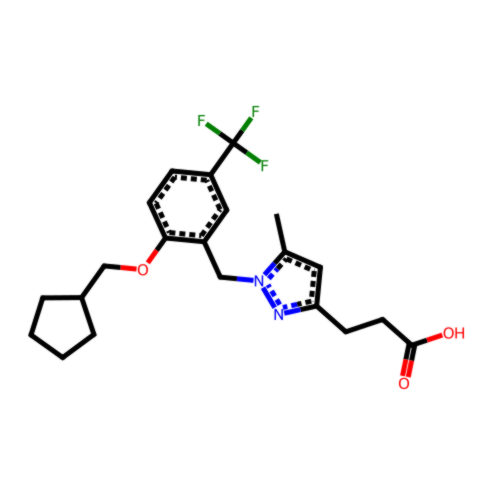 Cc1cc(CCC(=O)O)nn1Cc1cc(C(F)(F)F)ccc1OCC1CCCC1